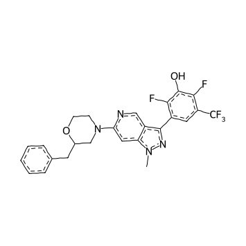 Cn1nc(-c2cc(C(F)(F)F)c(F)c(O)c2F)c2cnc(N3CCOC(Cc4ccccc4)C3)cc21